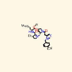 CC[C@H]1CCN(C[C@@H]2CCCN2C(=O)Cc2cncn2Cc2ccc(C#N)cc2)[C@@H]1C(=O)N[C@@H](CCSC)C(=O)OC(C)C